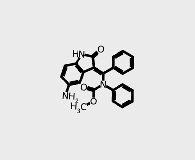 COC(=O)N(C(=C1C(=O)Nc2ccc(N)cc21)c1ccccc1)c1ccccc1